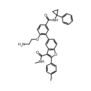 CNC(=O)c1c(-c2ccc(F)cc2)oc2ccc(-c3cc(C(=O)NC4(c5ccccc5)CC4)ccc3OCCN)cc12